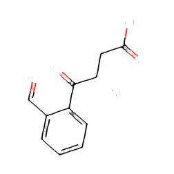 N[C@@H](CC(=O)O)C(=O)c1ccccc1C=O